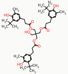 Cc1cc(CCC(=O)OCC(CO)(COC(=O)CCc2cc(C)c(O)c(C(C)(C)C)c2)COC(=O)CCc2cc(C)c(O)c(C(C)(C)C)c2)cc(C(C)(C)C)c1O